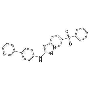 O=S(=O)(c1ccccc1)c1ccc2nc(Nc3ccc(-c4cccnc4)cc3)nn2c1